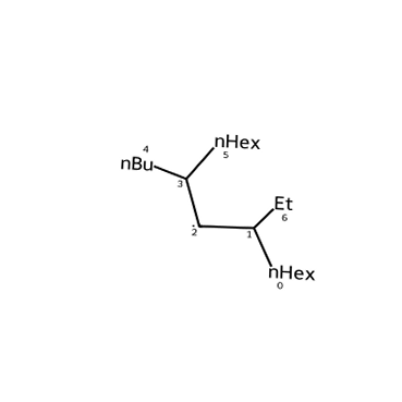 CCCCCCC([CH]C(CCCC)CCCCCC)CC